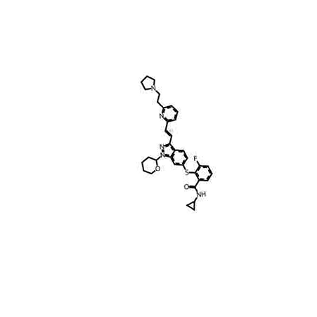 O=C(NC1CC1)c1cccc(F)c1Sc1ccc2c(/C=C/c3cccc(CCN4CCCC4)n3)nn(C3CCCCO3)c2c1